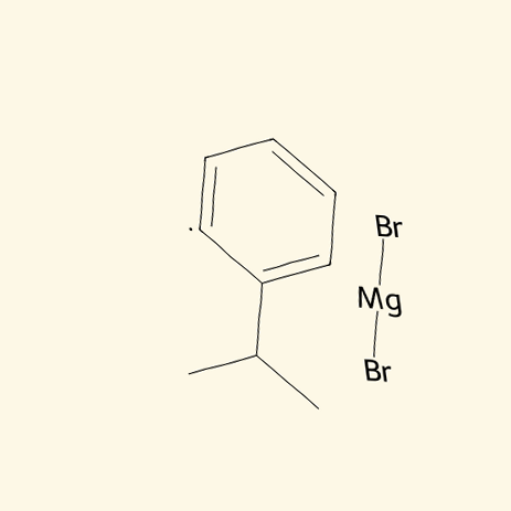 CC(C)c1[c]cccc1.[Br][Mg][Br]